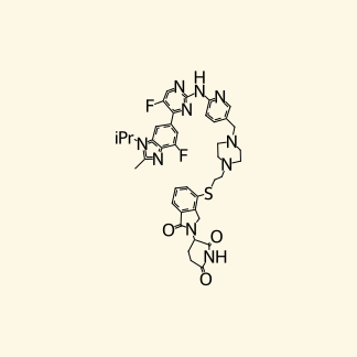 Cc1nc2c(F)cc(-c3nc(Nc4ccc(CN5CCN(CCSc6cccc7c6CN(C6CCC(=O)NC6=O)C7=O)CC5)cn4)ncc3F)cc2n1C(C)C